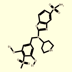 CCOc1cc(CN(c2nc3cc(S(N)(=O)=O)ccc3o2)C2CCNCC2)cc(OCC)c1S(C)(=O)=O